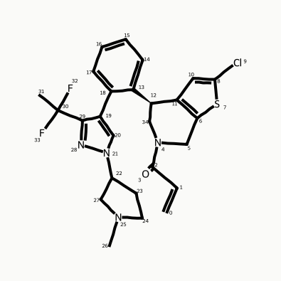 C=CC(=O)N1Cc2sc(Cl)cc2[C@H](c2ccccc2-c2cn(C3CCN(C)C3)nc2C(C)(F)F)C1